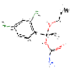 CC[C@@](OCOC)(OC(N)=O)c1ccc(Cl)cc1Cl